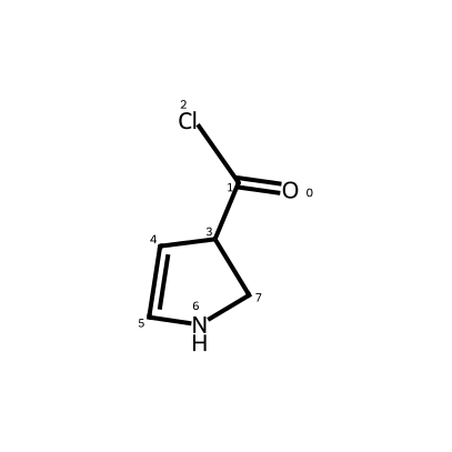 O=C(Cl)C1C=CNC1